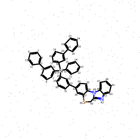 c1ccc(-c2cccc([Si](c3ccccc3)(c3cccc(-c4ccccc4)c3)c3cccc(-c4ccc5c(c4)SCc4nc6ccccc6n4-5)c3)c2)cc1